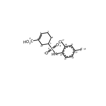 O=C(O)C1=CCCC(S(=O)(=O)Nc2ccc(F)cc2Cl)C1